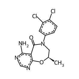 C[C@@H]1CN(c2ccc(Cl)c(Cl)c2)C(=O)c2c(N)ncnc2O1